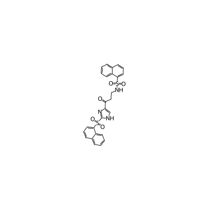 O=C(CCNS(=O)(=O)c1cccc2ccccc12)c1c[nH]c(S(=O)(=O)c2cccc3ccccc23)n1